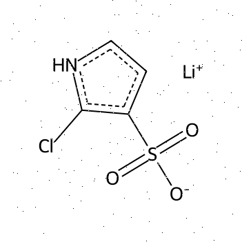 O=S(=O)([O-])c1cc[nH]c1Cl.[Li+]